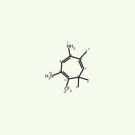 CC1(C)C=C(I)C(N)=CC(N)=C1C(F)(F)F